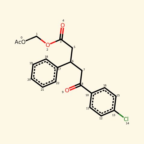 CC(=O)OCOC(=O)CC(CC(=O)c1ccc(Cl)cc1)c1ccccc1